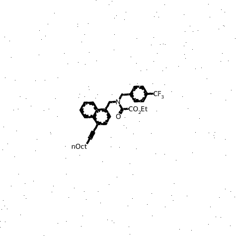 CCCCCCCCC#Cc1ccc(CN(Cc2ccc(C(F)(F)F)cc2)C(=O)C(=O)OCC)c2ccccc12